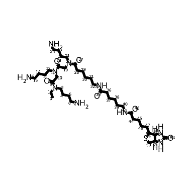 CCN(CCCCN)C(=O)CN(CCCCN)C(=O)CN(CCCCN)C(=O)CCCCCNC(=O)CCCCCNC(=O)CCCCC1SC[C@@H]2NC(=O)N[C@H]12